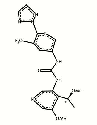 COc1cncc(NC(=O)Nc2cnc(-n3nccn3)c(C(F)(F)F)c2)c1[C@H](C)OC